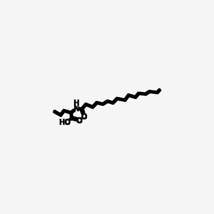 CCCCCCCCCCCCCCCC(=O)NC(CCC)C(=O)O